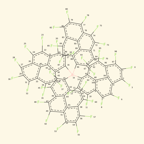 Fc1c(F)c2c(F)c(F)c3c(F)c(F)c([B-](c4c(F)c(F)c5c(F)c(F)c6c(F)c(F)c(F)c7c(F)c(F)c4c5c67)(c4c(F)c(F)c5c(F)c(F)c6c(F)c(F)c(F)c7c(F)c(F)c4c5c67)c4c(F)c(F)c5c(F)c(F)c6c(F)c(F)c(F)c7c(F)c(F)c4c5c67)c4c(F)c(F)c(c1F)c2c34